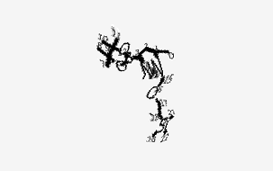 Cc1cc(B2OC(C)(C)C(C)(C)O2)nn1COCC[Si](C)(C)C